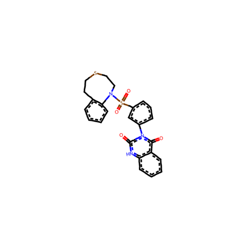 O=c1[nH]c2ccccc2c(=O)n1-c1cccc(S(=O)(=O)N2CCSCCc3ccccc32)c1